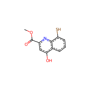 COC(=O)c1cc(O)c2cccc(S)c2n1